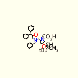 CC(C)(C)[Si](C)(C)O[C@@H]1C[C@@H](CN(CC(=O)C(c2ccccc2)c2ccccc2)Cc2ccccc2)N(C(=O)O)C1